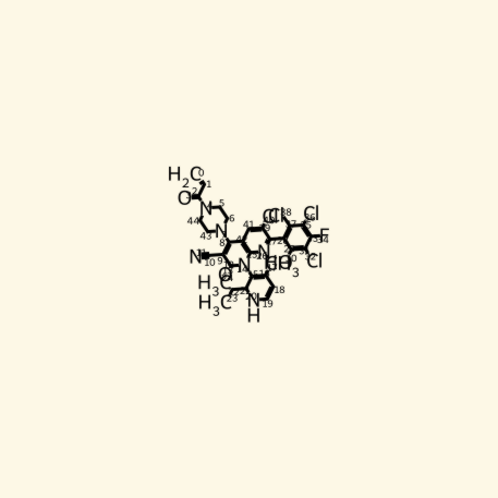 C=CC(=O)N1CCN(c2c(C#N)c(=O)n(C3=C(C)C=CNC3C(C)C)c3nc(-c4c(O)c(Cl)c(F)c(Cl)c4Cl)c(Cl)cc23)CC1